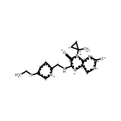 CCSc1ccc(CNc2nc3cnc(Cl)nc3n(C3(C)CC3)c2=O)nc1